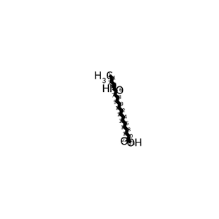 CCCCNC(=O)CCCCCCCCCCCCCCC(=O)O